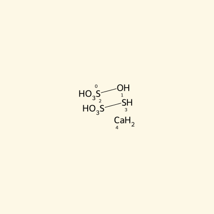 O=S(=O)(O)O.O=S(=O)(O)S.[CaH2]